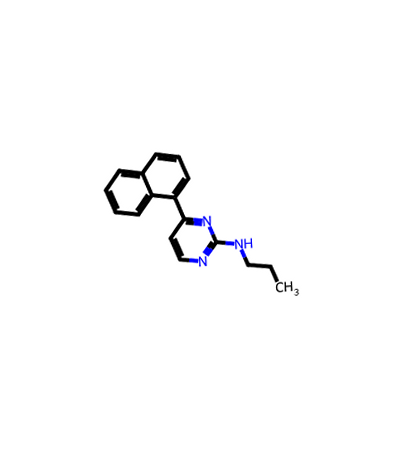 CCCNc1nccc(-c2cccc3ccccc23)n1